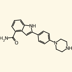 NC(=O)c1cccc2[nH]c(-c3ccc(N4CCNCC4)cc3)cc12